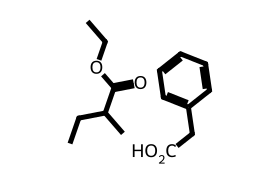 CCOC(=O)C(C)CC.O=C(O)Cc1ccccc1